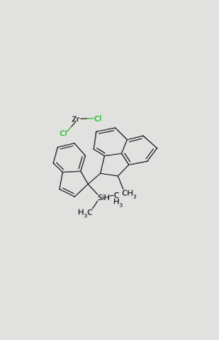 CC1c2cccc3cccc(c23)C1C1([SiH](C)C)C=Cc2ccccc21.[Cl][Zr][Cl]